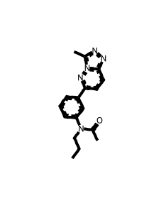 CCCN(C(C)=O)c1cccc(-c2ccc3nnc(C)n3n2)c1